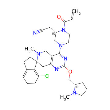 C=CC(=O)N1CCN(c2nc(OC[C@@H]3CCCN3C)nc3c2CN(C)C2(CCc4cccc(Cl)c42)C3)C[C@@H]1CC#N